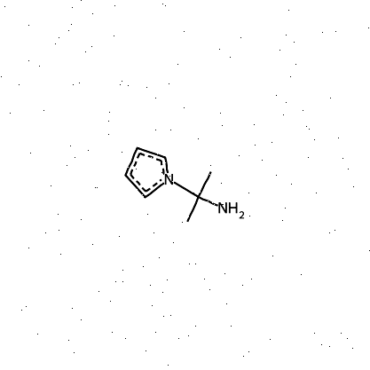 CC(C)(N)n1cccc1